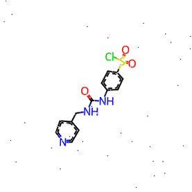 O=C(NCc1ccncc1)Nc1ccc(S(=O)(=O)Cl)cc1